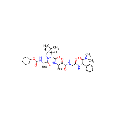 CCCC(NC(=O)[C@@H]1[C@H]2[C@@H](CN1C(=O)[C@@H](NC(=O)OC1CCCCC1)C(C)(C)C)C2(C)C)C(=O)C(=O)NCC(=O)N[C@H](C(=O)N(C)C)c1ccccc1